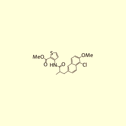 COC(=O)c1sccc1NC(=O)C(C)Cc1ccc2c(Cl)c(OC)ccc2c1